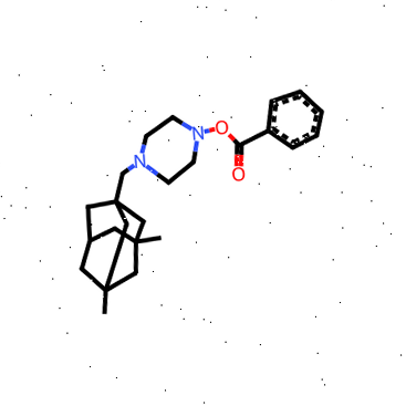 CC12CC3CC(C)(C1)CC(CN1CCN(OC(=O)c4ccccc4)CC1)(C3)C2